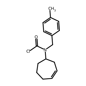 Cc1ccc(CN(C(=O)Cl)C2CC=CCCC2)cc1